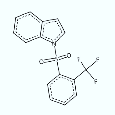 O=S(=O)(c1ccccc1C(F)(F)F)n1ccc2ccccc21